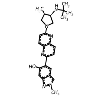 C[C@@H]1CN(c2ccc3nc(-c4cc5cn(C)nc5cc4O)ccc3n2)C[C@@H]1NC(C)(C)C